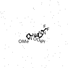 COc1cccc(NC(=O)c2cn3cc(C(F)F)nc3cc2OC(C)C)n1